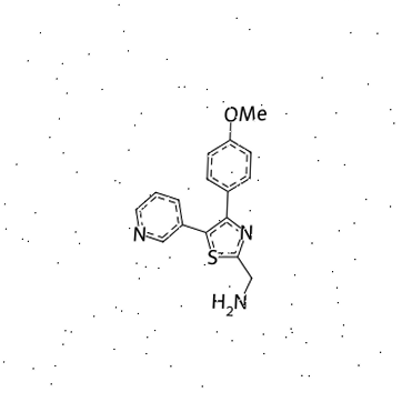 COc1ccc(-c2nc(CN)sc2-c2cccnc2)cc1